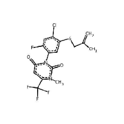 C=C(C)CSc1cc(-n2c(=O)cc(C(F)(F)F)n(C)c2=O)c(F)cc1Cl